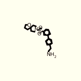 NCCc1ccc(-c2cccc(S(=O)(=O)N3CCC4(CCCO4)CC3)c2)cc1